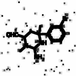 CN1C(C=O)CC(C)(c2cccc(Br)c2)NC1N